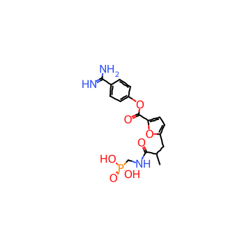 CC(Cc1ccc(C(=O)Oc2ccc(C(=N)N)cc2)o1)C(=O)NCP(=O)(O)O